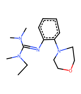 CCN(C)/C(=N/c1ccccc1N1CCOCC1)N(C)C